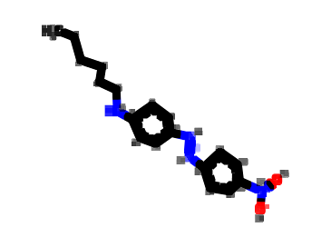 CCCCCCNc1ccc(/N=N/c2ccc([N+](=O)[O-])cc2)cc1